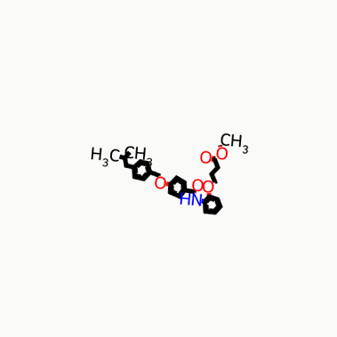 CCOC(=O)CCCOc1ccccc1NC(=O)c1ccc(OCc2ccc(CC(C)C)cc2)cc1